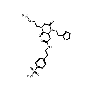 COCCN1CC(=O)N(CCc2cccs2)C(CC(=O)NCCc2ccc(S(N)(=O)=O)cc2)C1=O